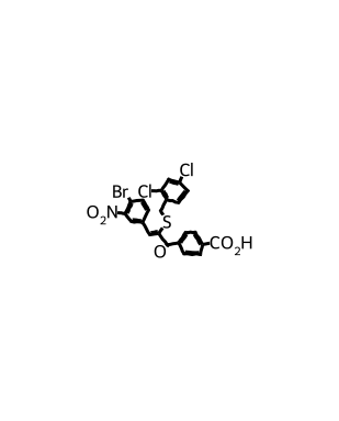 O=C(O)c1ccc(C(=O)C(=Cc2ccc(Br)c([N+](=O)[O-])c2)SCc2ccc(Cl)cc2Cl)cc1